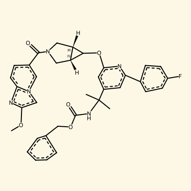 COc1cn2cc(C(=O)N3C[C@@H]4C(Oc5cc(C(C)(C)NC(=O)OCc6ccccc6)cc(-c6ccc(F)cc6)n5)[C@@H]4C3)ccc2n1